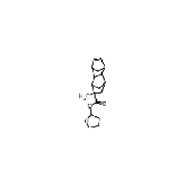 CC1(C(=O)OC2CCCO2)CC2CC1C1C3C=CC(C3)C21